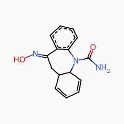 NC(=O)N1c2ccccc2C(=NO)CC2C=CC=CC21